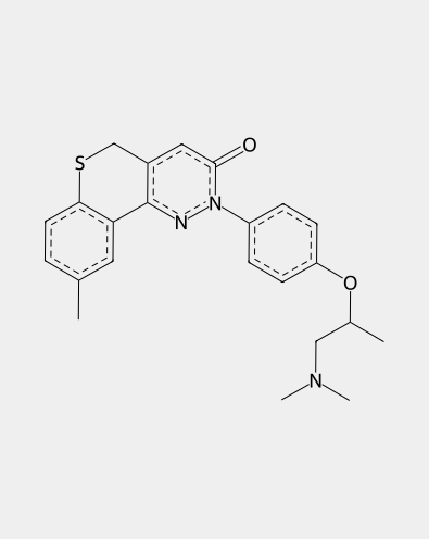 Cc1ccc2c(c1)-c1nn(-c3ccc(OC(C)CN(C)C)cc3)c(=O)cc1CS2